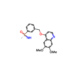 COc1cc2nccc(OCc3cccc([S@@](C)(=N)=O)c3)c2cc1OC